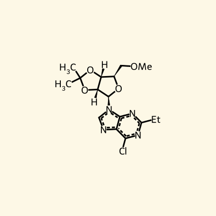 CCc1nc(Cl)c2ncn([C@@H]3O[C@H](COC)[C@H]4OC(C)(C)O[C@H]43)c2n1